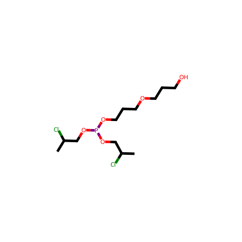 CC(Cl)COP(OCCCOCCCO)OCC(C)Cl